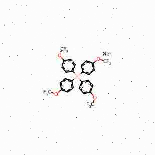 FC(F)(F)Oc1ccc([B-](c2ccc(OC(F)(F)F)cc2)(c2ccc(OC(F)(F)F)cc2)c2ccc(OC(F)(F)F)cc2)cc1.[Na+]